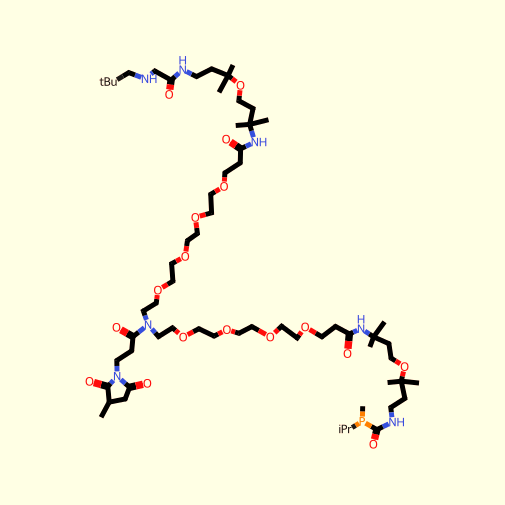 CC1CC(=O)N(CCC(=O)N(CCOCCOCCOCCOCCC(=O)NC(C)(C)CCOC(C)(C)CCNC(=O)CNCC(C)(C)C)CCOCCOCCOCCOCCC(=O)NC(C)(C)CCOC(C)(C)CCNC(=O)P(C)C(C)C)C1=O